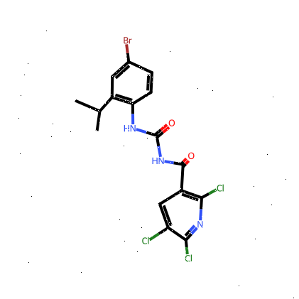 CC(C)c1cc(Br)ccc1NC(=O)NC(=O)c1cc(Cl)c(Cl)nc1Cl